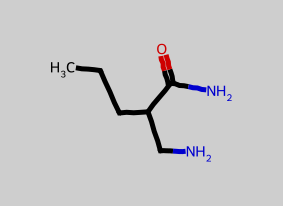 CCCC(CN)C(N)=O